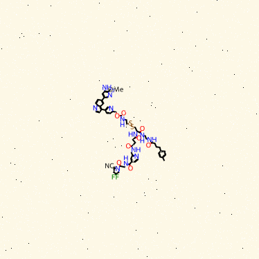 COc1ncc(-c2ccc3nccc(-c4ccc(COC(=O)NCCSSCC(NC(=O)CCC(=O)NCc5cc(C(=O)NCC(=O)N6CC(F)(F)C[C@H]6C#N)ccn5)C(=O)NCCNC(=O)CCCc5ccc(C)cc5)nc4)c3c2)cc1N